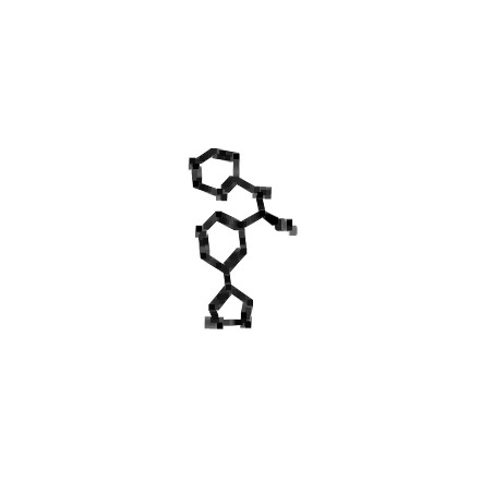 C[C@H](Nc1ccncn1)c1cncc(-c2cn[nH]c2)c1